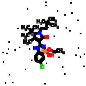 CCO[PH]1(O)N=C(C2=C(C)[C@H](C(C)(C)C)N(CCC(C)(C)C)C2=O)Nc2ccc(Cl)cc21